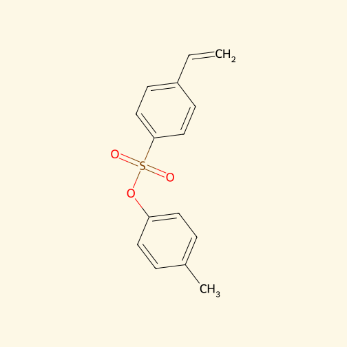 C=Cc1ccc(S(=O)(=O)Oc2ccc(C)cc2)cc1